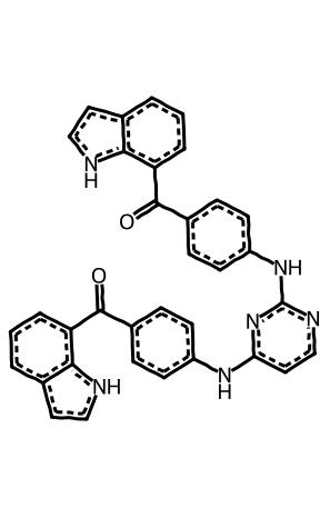 O=C(c1ccc(Nc2ccnc(Nc3ccc(C(=O)c4cccc5cc[nH]c45)cc3)n2)cc1)c1cccc2cc[nH]c12